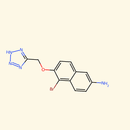 Nc1ccc2c(Br)c(OCc3nn[nH]n3)ccc2c1